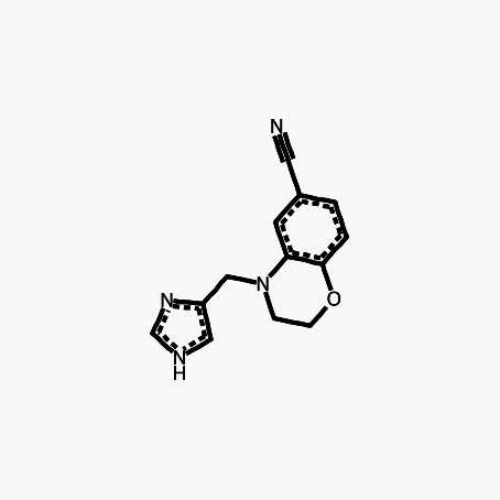 N#Cc1ccc2c(c1)N(Cc1c[nH]cn1)CCO2